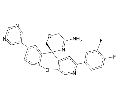 NC1=N[C@@]2(COC1)c1cc(-c3cncnc3)ccc1Oc1cnc(-c3ccc(F)c(F)c3)cc12